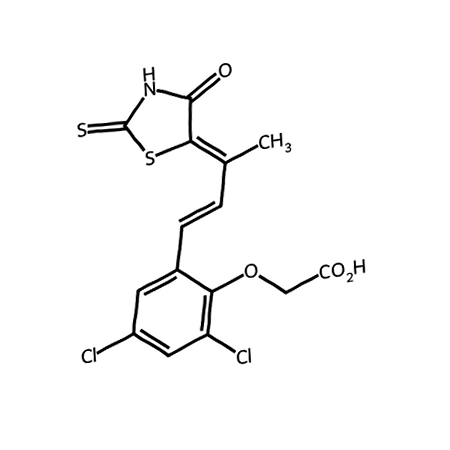 CC(C=Cc1cc(Cl)cc(Cl)c1OCC(=O)O)=C1SC(=S)NC1=O